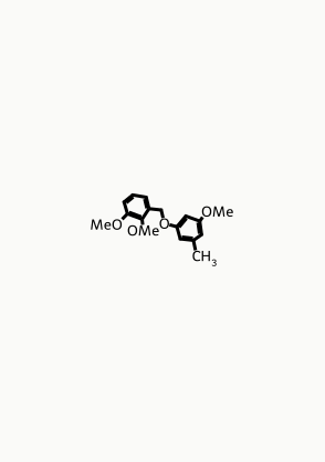 COc1cc(C)cc(OCc2cccc(OC)c2OC)c1